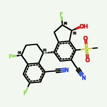 CS(=O)(=O)c1c(C#N)cc([C@H]2CC[C@H](F)c3cc(F)cc(C#N)c32)c2c1[C@H](O)[C@H](F)C2